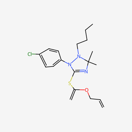 C=CCOC(=C)SC1=NC(C)(C)N(CCCC)N1c1ccc(Cl)cc1